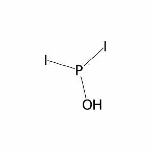 OP(I)I